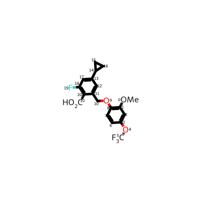 COc1cc(OC(F)(F)F)ccc1OCc1cc(C2CC2)cc(F)c1C(=O)O